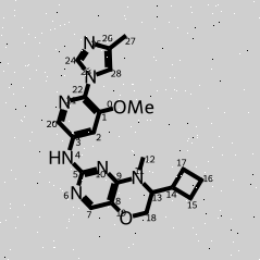 COc1cc(Nc2ncc3c(n2)N(C)C(C2CCC2)CO3)cnc1-n1cnc(C)c1